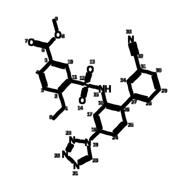 CCc1ccc(C(=O)OC)cc1S(=O)(=O)Nc1cc(-n2cnnn2)ccc1-c1cccc(C#N)c1